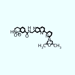 C[C@@H]1CN(c2cccc(-c3ccc4cnc(CNC(=O)c5ccc6c(c5)S(=O)(=O)NCC6)cc4n3)n2)C[C@H](C)O1